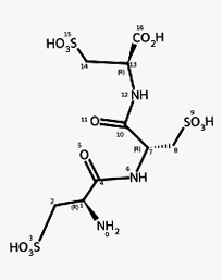 N[C@@H](CS(=O)(=O)O)C(=O)N[C@@H](CS(=O)(=O)O)C(=O)N[C@@H](CS(=O)(=O)O)C(=O)O